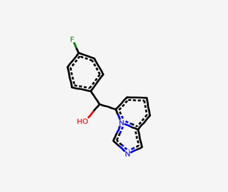 OC(c1ccc(F)cc1)c1cccc2cncn12